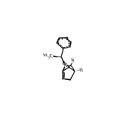 C[C@@H](c1ccccc1)N1C[C@H]2CC=C1[C@@H]2Br